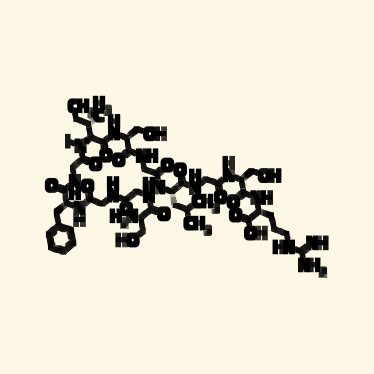 CC[C@H](C)[C@@H](C(=O)N[C@@H](CO)C(=O)NCC(=O)N[C@@H](CC(C)C)C(=O)NCC(=O)N[C@@H](CO)C(=O)N[C@@H](CCCNC(=N)N)C(=O)O)N(I)C(=O)CNC(=O)[C@H](Cc1ccccc1)NC(=O)CNC(=O)CNC(=O)[C@@H](N)CO